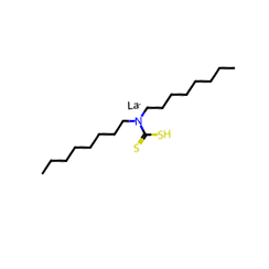 CCCCCCCCN(CCCCCCCC)C(=S)S.[La]